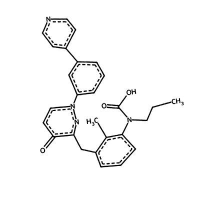 CCCN(C(=O)O)c1cccc(Cc2nn(-c3cccc(-c4ccncc4)c3)ccc2=O)c1C